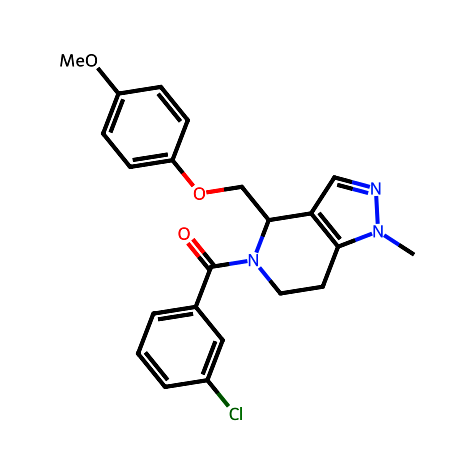 COc1ccc(OCC2c3cnn(C)c3CCN2C(=O)c2cccc(Cl)c2)cc1